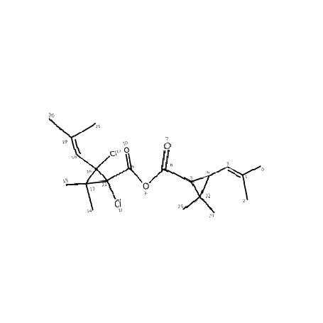 CC(C)=CC1C(C(=O)OC(=O)C2(Cl)C(C)(C)C2(Cl)C=C(C)C)C1(C)C